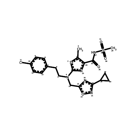 Cc1sc(N(CCc2ccc(Cl)cc2)Cc2nc(C3CC3)no2)nc1C(=O)NS(C)(=O)=O